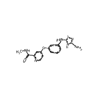 CNC(=O)c1cc(Oc2cccc(Nc3nnc(N)[nH]3)c2)ccn1